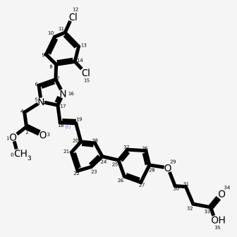 COC(=O)Cn1cc(-c2ccc(Cl)cc2Cl)nc1/C=C/c1cccc(-c2ccc(OCCCC(=O)O)cc2)c1